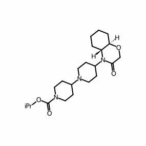 CC(C)OC(=O)N1CCC(N2CCC(N3C(=O)CO[C@@H]4CCCC[C@H]43)CC2)CC1